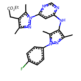 CCOC(=O)Cc1c(C)nn(-c2cc(Nc3c(C)nn(-c4ccc(F)cc4)c3C)ncn2)c1C